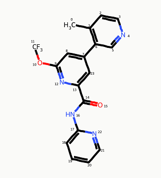 Cc1ccncc1-c1cc(OC(F)(F)F)nc(C(=O)Nc2ccccn2)c1